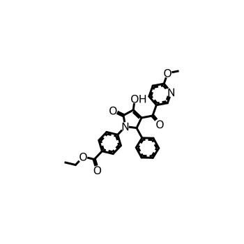 CCOC(=O)c1ccc(N2C(=O)C(O)=C(C(=O)c3ccc(OC)nc3)C2c2ccccc2)cc1